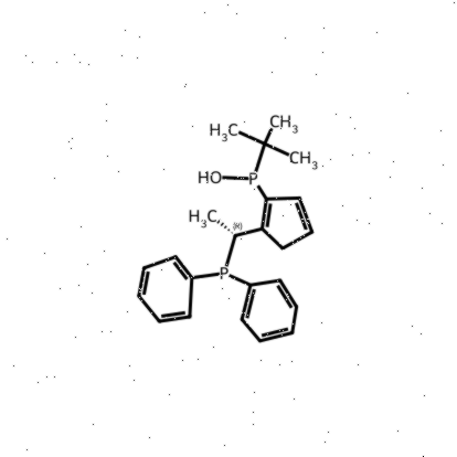 C[C@H](C1=C(P(O)C(C)(C)C)C=CC1)P(c1ccccc1)c1ccccc1